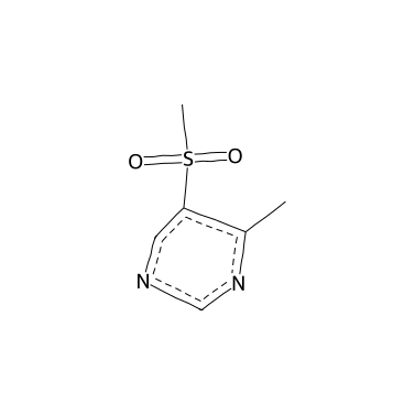 Cc1ncncc1S(C)(=O)=O